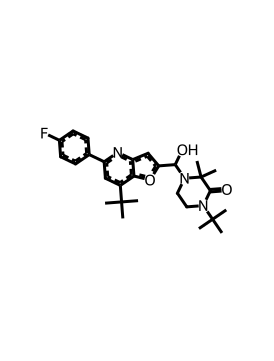 CC(C)(C)c1cc(-c2ccc(F)cc2)nc2cc(C(O)N3CCN(C(C)(C)C)C(=O)C3(C)C)oc12